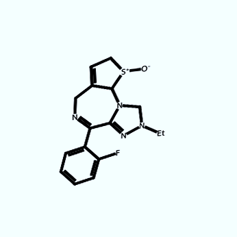 CCN1CN2C(=N1)C(c1ccccc1F)=NCC1=CC[S+]([O-])C12